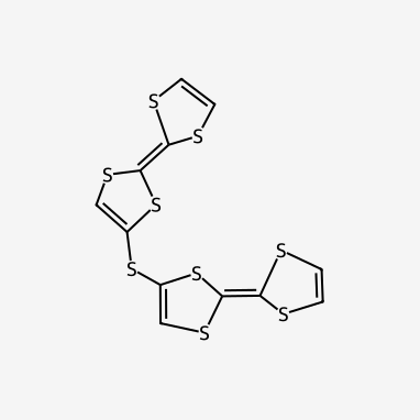 C1=CSC(=C2SC=C(SC3=CSC(=C4SC=CS4)S3)S2)S1